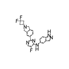 Fc1cnc(-c2ccc3c(c2)CN([C]2CC(F)(F)C2)C3)nc1Nc1ccc2[nH]ncc2c1